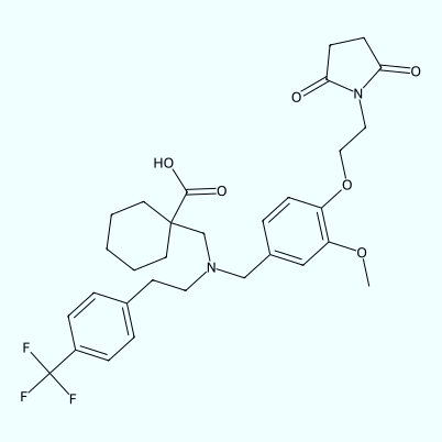 COc1cc(CN(CCc2ccc(C(F)(F)F)cc2)CC2(C(=O)O)CCCCC2)ccc1OCCN1C(=O)CCC1=O